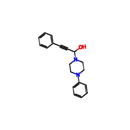 OC(C#Cc1ccccc1)N1CCN(c2ccccc2)CC1